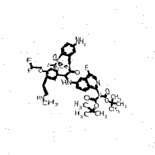 CNCCc1cc(C(Nc2ccc3c(N(C(=O)OC(C)(C)C)C(=O)OC(C)(C)C)ncc(F)c3c2)C(=O)N(C)Cc2cc(N)ccc2S(=O)(=O)C(F)F)ccc1OCC(F)F